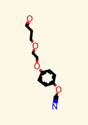 N#COc1ccc(OCCOCCC=O)cc1